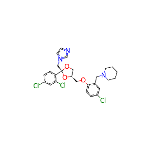 Clc1ccc([C@]2(Cn3ccnc3)OC[C@@H](COc3ccc(Cl)cc3CN3CCCCC3)O2)c(Cl)c1